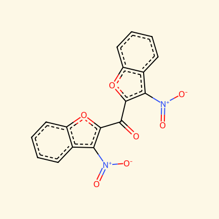 O=C(c1oc2ccccc2c1[N+](=O)[O-])c1oc2ccccc2c1[N+](=O)[O-]